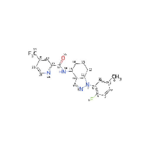 Cc1ccc(F)c(-n2ncc3c2CCCC3NC(=O)c2cc(C(F)(F)F)ccn2)c1